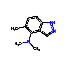 Cc1ccc2[nH]ncc2c1N(C)C